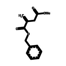 C=C(CC(=O)OC)C(=O)OCc1ccccc1